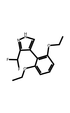 CCOc1c[c]cc(OCC)c1-c1c[nH]nc1C(F)F